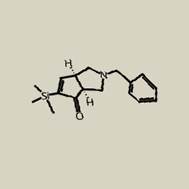 C[Si](C)(C)C1=C[C@H]2CN(Cc3ccccc3)C[C@H]2C1=O